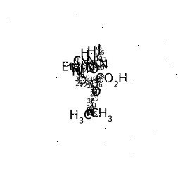 C=C1C(NC(=O)Nc2c(O)cncc2CCI)=CC(c2cccc(-c3cc(OCCCCCN(C)C)cc(C(=O)O)c3)c2)=NN1CC